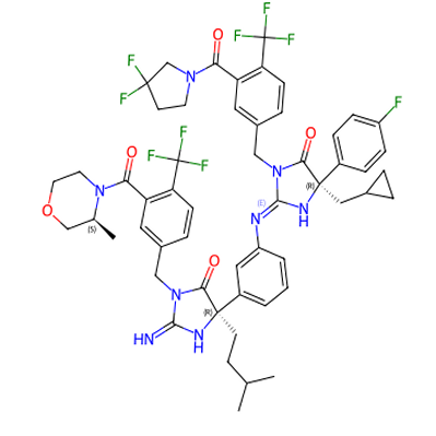 CC(C)CC[C@]1(c2cccc(/N=C3\N[C@](CC4CC4)(c4ccc(F)cc4)C(=O)N3Cc3ccc(C(F)(F)F)c(C(=O)N4CCC(F)(F)C4)c3)c2)NC(=N)N(Cc2ccc(C(F)(F)F)c(C(=O)N3CCOC[C@@H]3C)c2)C1=O